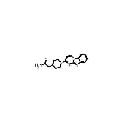 NC(=O)CC1CCN(c2ccn3c(n2)nc2ccccc23)CC1